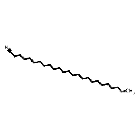 CCCCCCCCCCCCCCCCCCCCCCC[CH]C#N